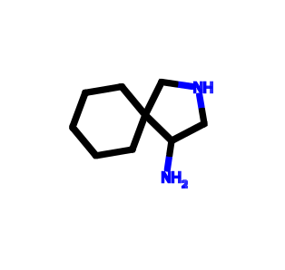 NC1CNCC12CCCCC2